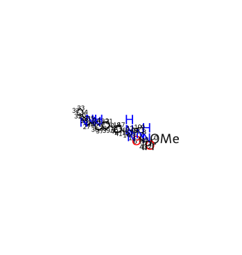 COC(=O)N[C@H](C(=O)N1CCC[C@H]1c1ncc(-c2ccc(-c3ccc4nc(-c5cnc(C6CCCC6)[nH]5)ccc4c3)cc2)[nH]1)C(C)C